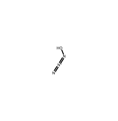 [N-]=[N+]=NO